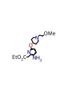 CCOC(=O)Cc1nc(OC2CCN(CCOC)CC2)ccc1N